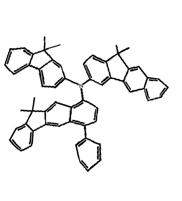 CC1(C)c2ccccc2-c2ccc(N(c3ccc4c(c3)-c3cc5ccccc5cc3C4(C)C)c3ccc(-c4ccccc4)c4cc5c(cc34)C(C)(C)c3ccccc3-5)cc21